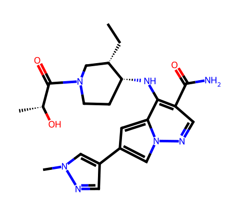 CC[C@H]1CN(C(=O)[C@@H](C)O)CC[C@H]1Nc1c(C(N)=O)cnn2cc(-c3cnn(C)c3)cc12